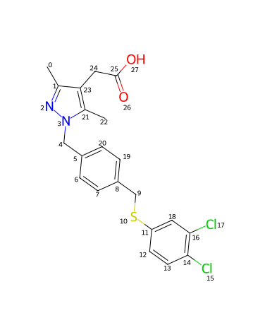 Cc1nn(Cc2ccc(CSc3ccc(Cl)c(Cl)c3)cc2)c(C)c1CC(=O)O